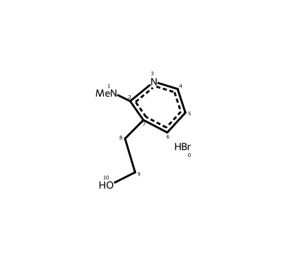 Br.CNc1ncccc1CCO